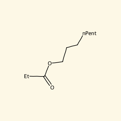 [CH2]CC(=O)OCCCCCCCC